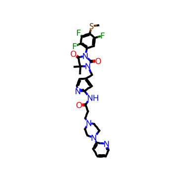 CSc1c(F)cc(N2C(=O)N(Cc3ccnc(NC(=O)CCN4CCN(c5ccccn5)CC4)c3)C(C)(C)C2=O)c(F)c1F